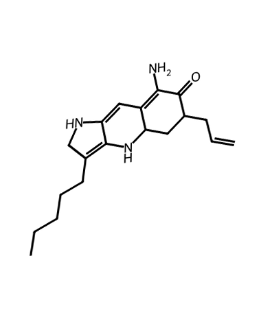 C=CCC1CC2NC3=C(CCCCC)CNC3=CC2=C(N)C1=O